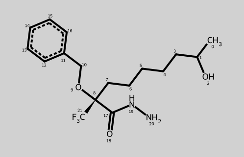 CC(O)CCCCC[C@@](OCc1ccccc1)(C(=O)NN)C(F)(F)F